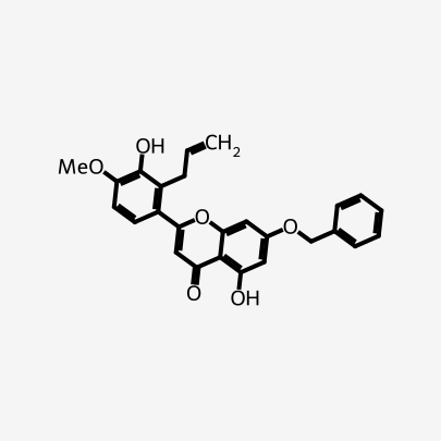 C=CCc1c(-c2cc(=O)c3c(O)cc(OCc4ccccc4)cc3o2)ccc(OC)c1O